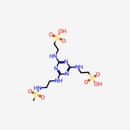 CS(=O)(=O)NCCNc1nc(NCCS(=O)(=O)O)nc(NCCS(=O)(=O)O)n1